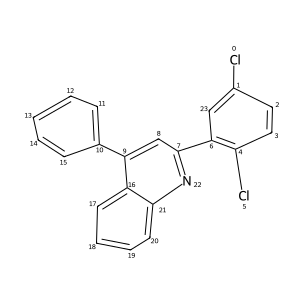 Clc1ccc(Cl)c(-c2cc(-c3ccccc3)c3ccccc3n2)c1